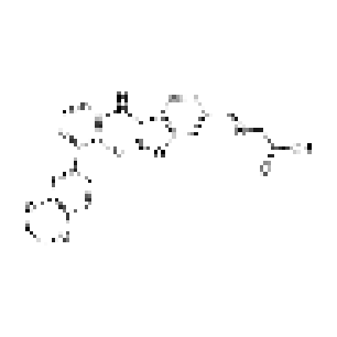 O=C(O)CN=Cc1ccc2c(Nc3cccc(-c4ccc5c(c4)OCCO5)c3Br)noc2c1